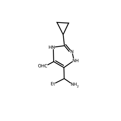 CCC(N)C1=C(C=O)NC(C2CC2)=NN1